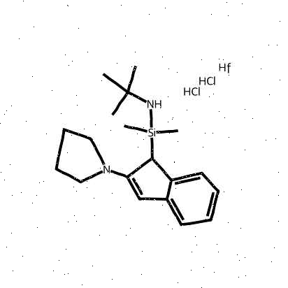 CC(C)(C)N[Si](C)(C)C1C(N2CCCC2)=Cc2ccccc21.Cl.Cl.[Hf]